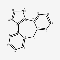 c1ccc2c(c1)Cc1ccccc1-c1[nH]cnc1-2